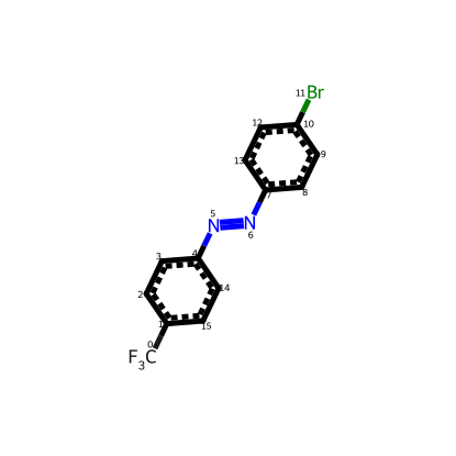 FC(F)(F)c1ccc(N=Nc2ccc(Br)cc2)cc1